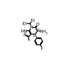 CCC(CC)N1C(=O)[C@@H](N)[C@@H](c2ccc(F)cc2)c2c(C)n[nH]c21